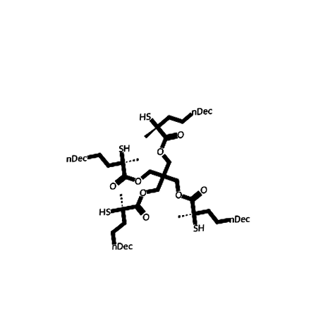 CCCCCCCCCCCC[C@@](C)(S)C(=O)OCC(COC(=O)[C@](C)(S)CCCCCCCCCCCC)(COC(=O)[C@](C)(S)CCCCCCCCCCCC)COC(=O)[C@](C)(S)CCCCCCCCCCCC